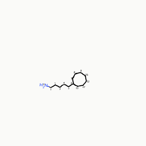 NCCCCCC1CCCCCCC1